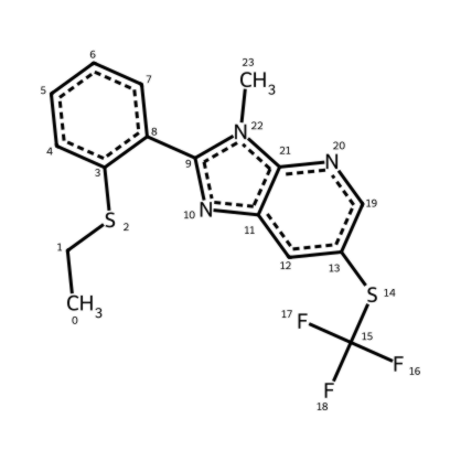 CCSc1ccccc1-c1nc2cc(SC(F)(F)F)cnc2n1C